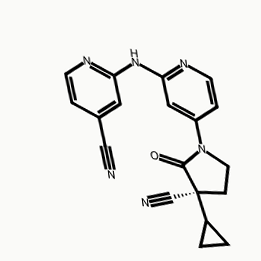 N#Cc1ccnc(Nc2cc(N3CC[C@@](C#N)(C4CC4)C3=O)ccn2)c1